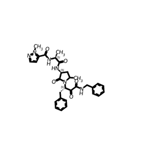 CC1C[C@H](NC(=O)[C@H](C)NC(=O)c2ccnn2C)C(=O)N1[C@@H](Cc1ccccc1)C(=O)C(=O)NCc1ccccc1